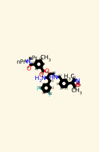 CCCN(CCC)C(=O)c1cc(C)cc(C(=O)OC(CNCc2cccc(-c3c(C)noc3C)c2)C(N)Cc2cc(F)cc(F)c2)c1